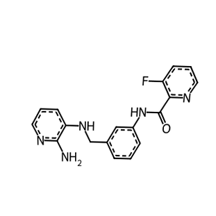 Nc1ncccc1NCc1cccc(NC(=O)c2ncccc2F)c1